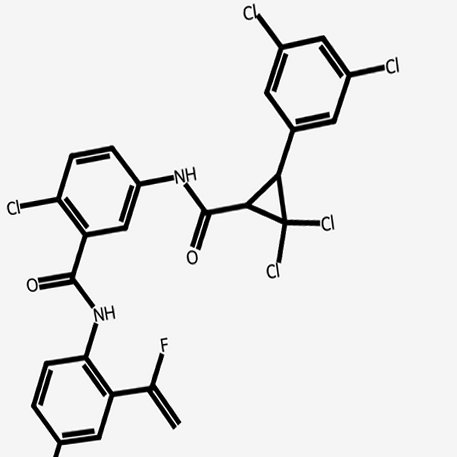 C=C(F)c1cc(F)ccc1NC(=O)c1cc(NC(=O)C2C(c3cc(Cl)cc(Cl)c3)C2(Cl)Cl)ccc1Cl